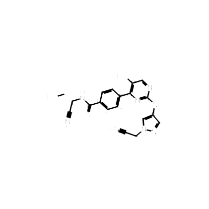 CC[C@@H](C#N)NC(=O)c1ccc(-c2nc(Nc3cnn(CC#N)c3)ncc2C)cc1